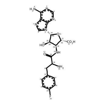 Nc1ncnc2c1ncn2[C@@H]1O[C@H](C(=O)O)[C@@H](NC(=O)C(N)Cc2ccc(F)cc2)[C@H]1O